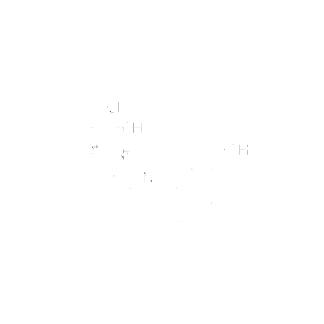 COc1ccc2c(c1)C(N1CCN(C(=O)C(C)(C)C)CC1)CC2